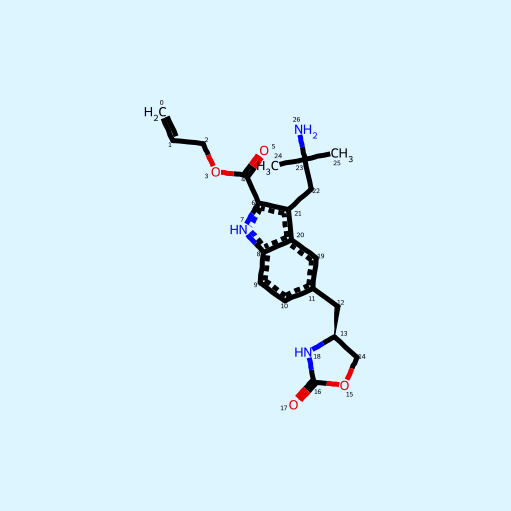 C=CCOC(=O)c1[nH]c2ccc(C[C@H]3COC(=O)N3)cc2c1CC(C)(C)N